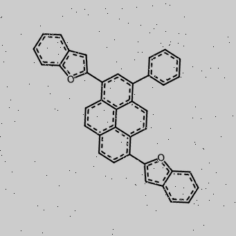 c1ccc(-c2cc(-c3cc4ccccc4o3)c3ccc4ccc(-c5cc6ccccc6o5)c5ccc2c3c45)cc1